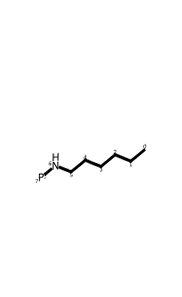 CCCCCCN[P]